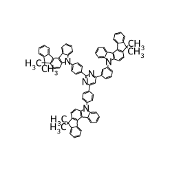 CC1(C)c2ccccc2-c2c1ccc1c2c2ccccc2n1-c1ccc(-c2cc(-c3cccc(-n4c5ccccc5c5c6c(ccc54)C(C)(C)c4ccccc4-6)c3)nc(-c3ccc(-n4c5ccccc5c5c6c(ccc54)C(C)(C)c4ccccc4-6)cc3)n2)cc1